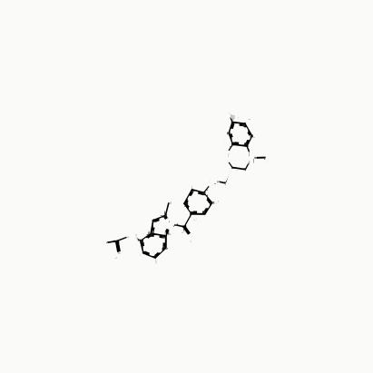 CC(=O)Oc1cccc2c1cc(C)n2C(=O)c1ccc(OC[C@@H]2CN(C)c3ccc(F)cc3O2)cc1